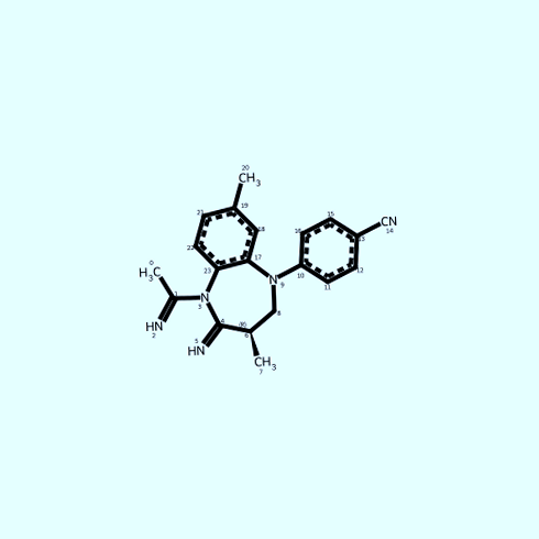 CC(=N)N1C(=N)[C@H](C)CN(c2ccc(C#N)cc2)c2cc(C)ccc21